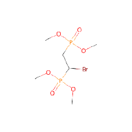 COP(=O)(CC(Br)P(=O)(OC)OC)OC